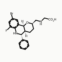 O=C(O)CNC[C@H]1CC[C@@H]2[C@H](O1)c1cc(Br)cc(F)c1N[C@H]2c1ccccc1